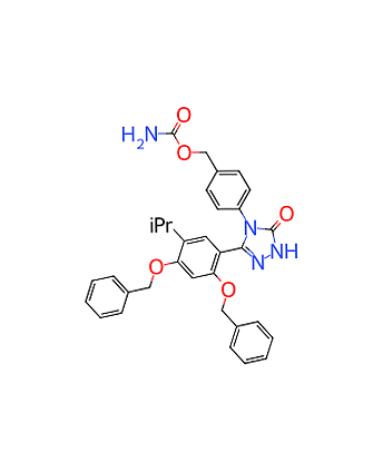 CC(C)c1cc(-c2n[nH]c(=O)n2-c2ccc(COC(N)=O)cc2)c(OCc2ccccc2)cc1OCc1ccccc1